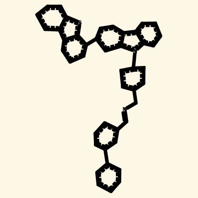 C(=N\Cc1ccc(-n2c3ccccc3c3ccc(-c4cccc5c4sc4ccccc45)cc32)cc1)/c1cccc(-c2ccccc2)c1